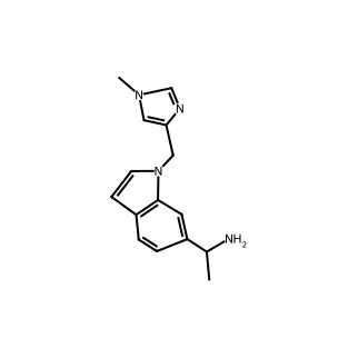 CC(N)c1ccc2ccn(Cc3cn(C)cn3)c2c1